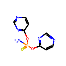 NP(=S)(Oc1ccncn1)Oc1ccncn1